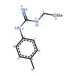 COCNC(=N)Nc1ccc(C)cc1